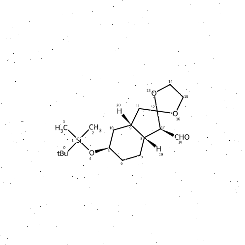 CC(C)(C)[Si](C)(C)O[C@@H]1CC[C@@H]2[C@H](C1)CC1(OCCO1)[C@H]2C=O